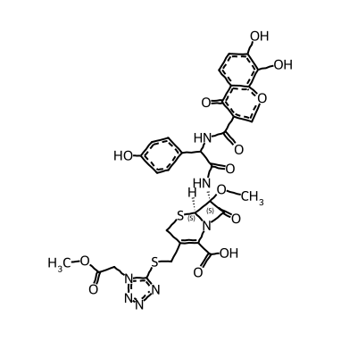 COC(=O)Cn1nnnc1SCC1=C(C(=O)O)N2C(=O)[C@](NC(=O)C(NC(=O)c3coc4c(O)c(O)ccc4c3=O)c3ccc(O)cc3)(OC)[C@@H]2SC1